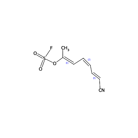 C\C(=C/C=C\C=C\C#N)OS(=O)(=O)F